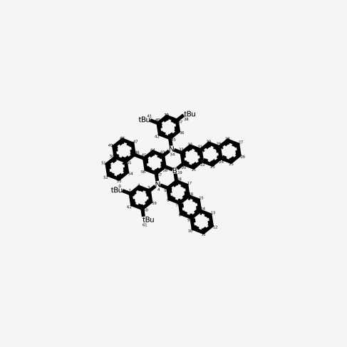 CC(C)(C)c1cc(N2c3cc4cc5ccccc5cc4cc3B3c4cc5cc6ccccc6cc5cc4N(c4cc(C(C)(C)C)cc(C(C)(C)C)c4)c4cc(-c5cccc6ccccc56)cc2c43)cc(C(C)(C)C)c1